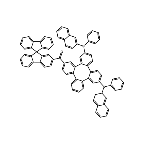 O=C(c1ccc2c(c1)-c1cc(N(c3ccccc3)c3ccc4ccccc4c3)ccc1-c1ccc(N(c3ccccc3)C3C=c4ccccc4=CC3)cc1-c1ccccc1-2)c1ccc2c(c1)C1(c3ccccc3-c3ccccc31)c1ccccc1-2